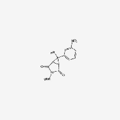 CCCCCCN1C(=O)C2C(C1=O)C2(CCC)c1cccc([N+](=O)[O-])c1